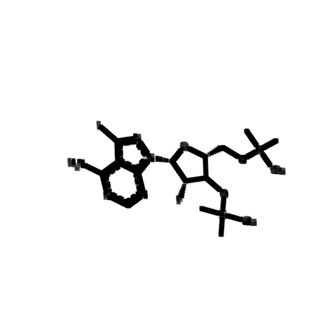 CC(C)(C)[Si](C)(C)OC[C@H]1O[C@@H](n2nc(I)c3c(N)ncnc32)[C@@H](F)C1O[Si](C)(C)C(C)(C)C